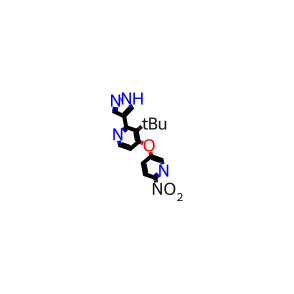 CC(C)(C)c1c(Oc2ccc([N+](=O)[O-])nc2)ccnc1-c1cn[nH]c1